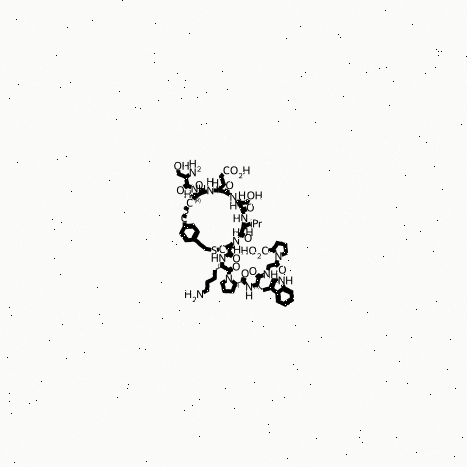 CC(C)[C@@H]1NC(=O)[C@H](CO)NC(=O)[C@H](CCC(=O)O)NC(=O)[C@@H](NC(=O)C(N)CO)CSCc2ccc(cc2)CSC[C@@H](C(=O)N[C@@H](CCCCN)C(=O)N2CCC[C@H]2C(=O)N[C@@H](Cc2c[nH]c3ccccc23)C(=O)NCC(=O)N2CCCC2C(=O)O)NC1=O